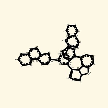 C1=CC2Oc3cccc(-c4ccccc4)c3C2C(c2nc(-c3ccc4ccccc4c3)nc(-c3ccc4c(ccc5ccccc54)c3)n2)=C1